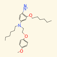 CCCCCCOc1cc(N(CCCCCC)CCOc2ccc(OC)cc2)ccc1[N+]#N